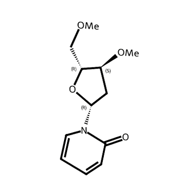 COC[C@H]1O[C@@H](n2ccccc2=O)C[C@@H]1OC